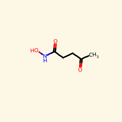 CC(=O)C[CH]C(=O)NO